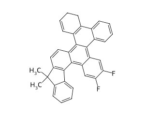 CC1(C)c2ccccc2-c2c1ccc1c2c2cc(F)c(F)cc2c2c3ccccc3c3c(c12)C=CCC3